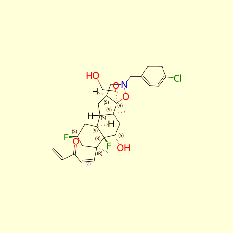 C=CC(=O)/C=C\[C@@]1(C)C[C@@H](F)C[C@H]2[C@@H]3C[C@H]4CN(CC5=CC=C(Cl)CC5)O[C@@]4(C(=O)CO)[C@@]3(C)C[C@H](O)[C@@]21F